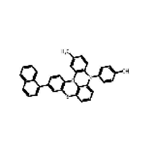 Cc1ccc(N2c3ccc(C)cc3B3c4ccc(-c5cccc6ccccc56)cc4Sc4cccc2c43)cc1